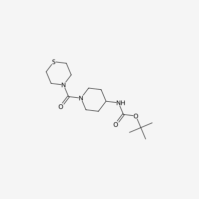 CC(C)(C)OC(=O)NC1CCN(C(=O)N2CCSCC2)CC1